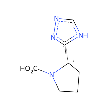 O=C(O)N1CCC[C@H]1c1nnc[nH]1